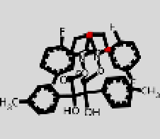 Cc1ccc(C(O)(C(=O)ON2CCC[C@@H]2c2cc(F)ccc2F)C(O)(C(=O)ON2CCC[C@@H]2c2cc(F)ccc2F)c2ccc(C)cc2)cc1